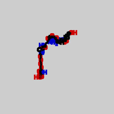 CC(C)[C@H](NC(=O)[C@H](N)CCCCNC(=O)COC1CCCCCc2c1nnn2CCOCCOCCOCCOCCC(=O)NCCS(=O)(=O)O)C(=O)N[C@@H](C)C(=O)Nc1ccc2c(c1)[C@@]1(C)CCC[C@](C)(C(=O)NC(=O)[C@@]3(C)CCC[C@]4(C)c5cc(O)ccc5CC[C@@H]34)[C@@H]1CC2